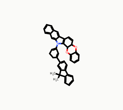 CC1(C)c2ccccc2-c2ccc(C3=CC(n4c5c(c6cc7ccccc7cc64)C=CC4Oc6ccccc6OC54)=CCC3)cc21